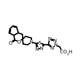 O=C(O)Cn1nnc(-c2nnc(N3CCC4(CC3)CC3C=CC=CC3C(=O)O4)s2)n1